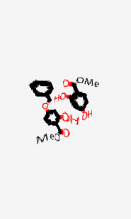 COC(=O)c1ccc(O)cc1O.COC(=O)c1ccc(OCc2ccccc2)cc1O